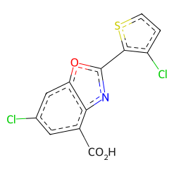 O=C(O)c1cc(Cl)cc2oc(-c3sccc3Cl)nc12